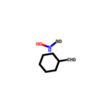 O=CC1CCCCC1.O=NNO